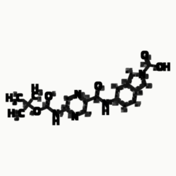 CC(C)(C)OC(=O)Nc1cnc(C(=O)Nc2ccc3cn(C(=O)O)cc3c2)cn1